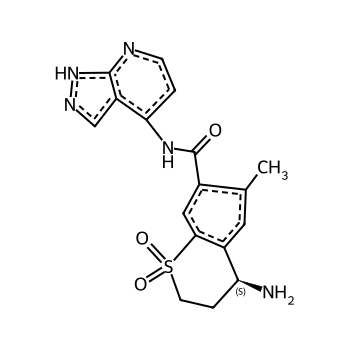 Cc1cc2c(cc1C(=O)Nc1ccnc3[nH]ncc13)S(=O)(=O)CC[C@@H]2N